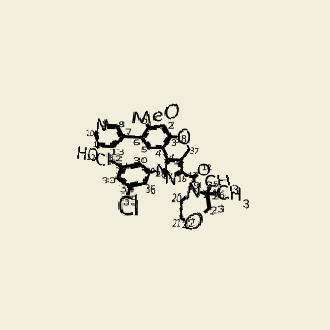 COc1cc2c(cc1-c1cncc(O)c1)-c1c(c(C(=O)N3CCOCC3(C)C)nn1-c1cc(Cl)cc(Cl)c1)CO2